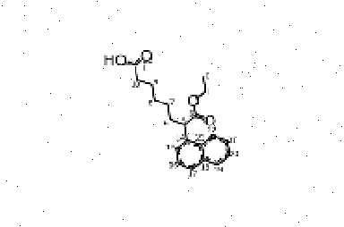 CCOC(=O)C(CCCCCC(=O)O)c1cccc2ccccc12